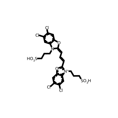 O=S(=O)(O)CCCN1C(=CC=Cc2oc3cc(Cl)c(Cl)cc3[n+]2CCCS(=O)(=O)O)Oc2cc(Cl)c(Cl)cc21